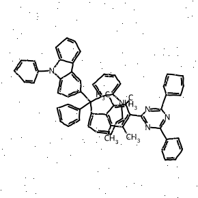 Cc1c(C)c(-c2nc(-c3ccccc3)nc(-c3ccccc3)n2)c(C)c(C)c1\C1=C/C=C\C=C\Nc2ccccc2C1(c1ccccc1)c1ccc2c(c1)c1ccccc1n2-c1ccccc1